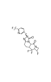 O=C1C2C(CCc3nn(Cc4ccc(C(F)(F)F)nc4)c(=O)n32)C(F)(F)C2C(F)CN12